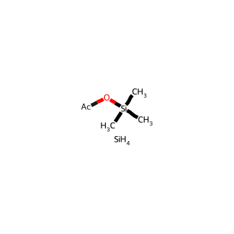 CC(=O)O[Si](C)(C)C.[SiH4]